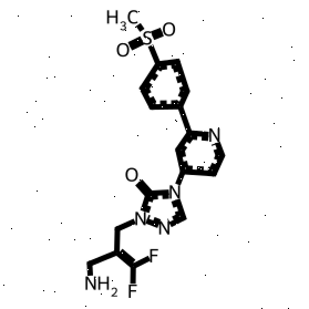 CS(=O)(=O)c1ccc(-c2cc(-n3cnn(CC(CN)=C(F)F)c3=O)ccn2)cc1